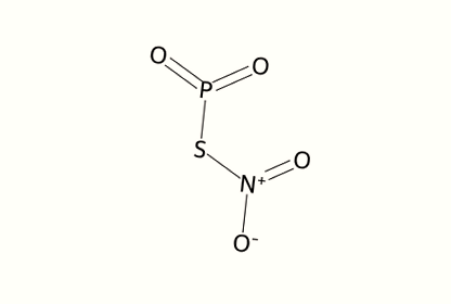 O=[N+]([O-])SP(=O)=O